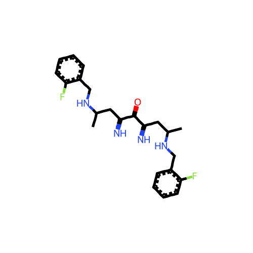 CC(CC(=N)C(=O)C(=N)CC(C)NCc1ccccc1F)NCc1ccccc1F